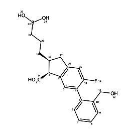 O=C(O)[C@@H]1c2cc(-c3ccccc3CO)c(F)cc2C[C@@H]1CCCB(O)O